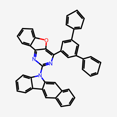 c1ccc(-c2cc(-c3ccccc3)cc(-c3nc(-n4c5ccccc5c5cc6ccccc6cc54)nc4c3oc3ccccc34)c2)cc1